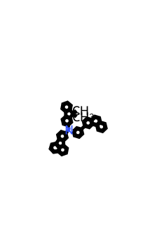 CC1(C)c2ccccc2-c2ccc(N(c3cccc(-c4ccc5ccc6ccccc6c5c4)c3)c3ccc4c(c3)-c3cccc5cccc-4c35)cc21